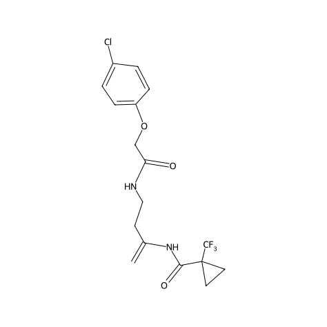 C=C(CCNC(=O)COc1ccc(Cl)cc1)NC(=O)C1(C(F)(F)F)CC1